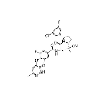 Cc1cc(Oc2c(C)cc(C(=O)N[C@H](C)C(=O)N3[C@H](c4cc(F)cc(Cl)c4)CC[C@@H]3C(C)(C)C#N)cc2F)c(=O)[nH]n1